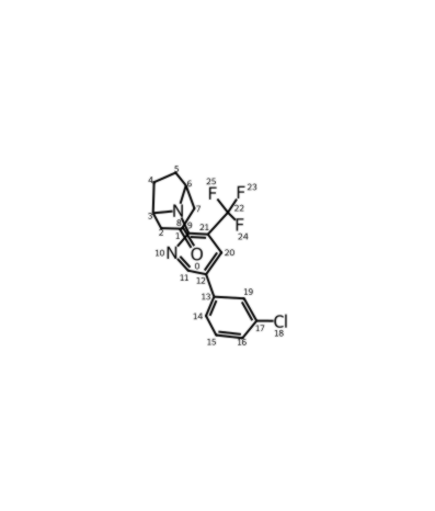 O=C1CC2CCC(C1)N2c1ncc(-c2cccc(Cl)c2)cc1C(F)(F)F